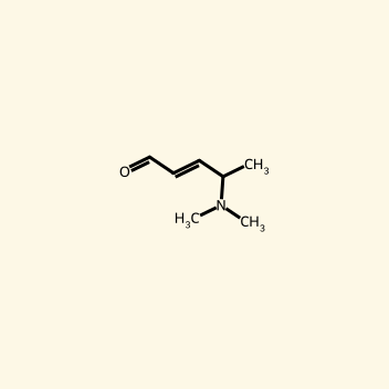 CC(C=CC=O)N(C)C